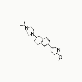 COc1ccc(-c2ccc3c(c2)CCC(N2CCN(C(C)C)CC2)C3)cn1